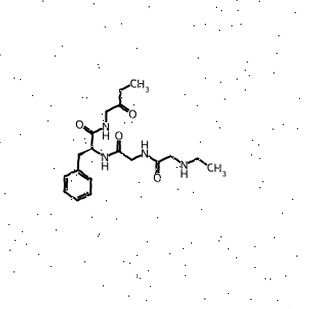 CCNCC(=O)NCC(=O)N[C@@H](Cc1ccccc1)C(=O)NCC(=O)CC